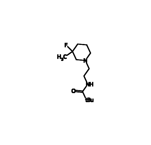 CC1(F)CCCN(CCNC(=O)C(C)(C)C)C1